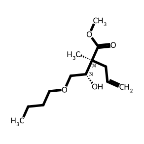 C=CC[C@](C)(C(=O)OC)[C@H](O)COCCCC